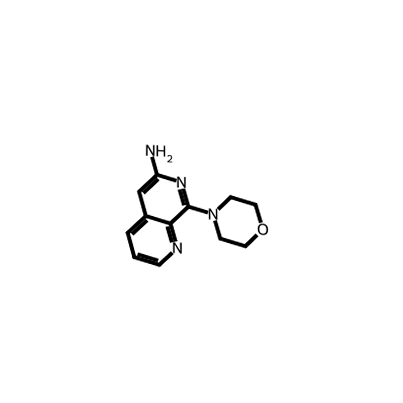 Nc1cc2cccnc2c(N2CCOCC2)n1